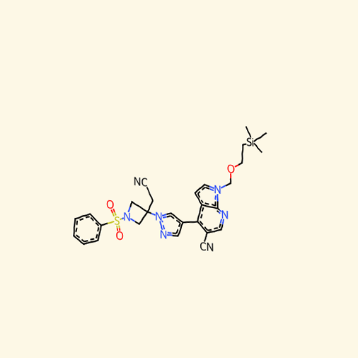 C[Si](C)(C)CCOCn1ccc2c(-c3cnn(C4(CC#N)CN(S(=O)(=O)c5ccccc5)C4)c3)c(C#N)cnc21